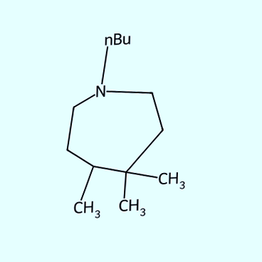 CCCCN1CCC(C)C(C)(C)CC1